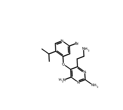 CC(C)c1cnc(Br)cc1Oc1c(N)nc(N)nc1CCN